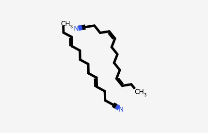 CC/C=C/CCCC/C=C/CCC#N.CC/C=C\CCCC/C=C\CCC#N